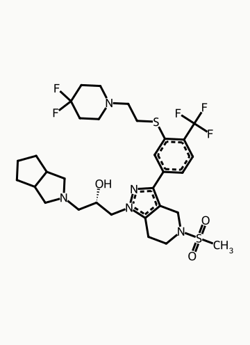 CS(=O)(=O)N1CCc2c(c(-c3ccc(C(F)(F)F)c(SCCN4CCC(F)(F)CC4)c3)nn2C[C@@H](O)CN2CC3CCCC3C2)C1